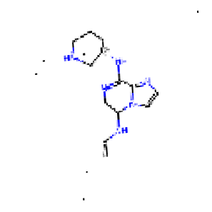 C=CNC1CN=C(N[C@H]2CCCNC2)c2nccn21